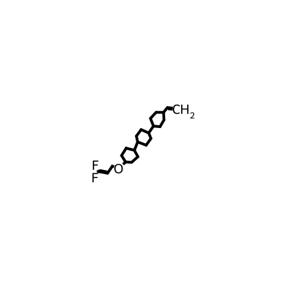 C=CC1CCC(C2CCC(C3CCC(OCC=C(F)F)CC3)CC2)CC1